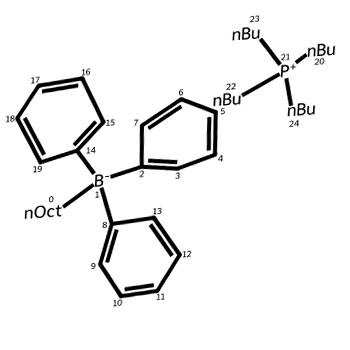 CCCCCCCC[B-](c1ccccc1)(c1ccccc1)c1ccccc1.CCCC[P+](CCCC)(CCCC)CCCC